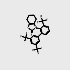 FC(F)(F)c1cc(-c2cccc(C(F)(F)F)c2-n2c3c(sc2=S)CCCC3)cc(C(F)(F)F)c1